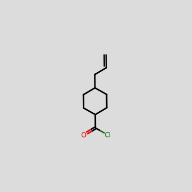 C=CCC1CCC(C(=O)Cl)CC1